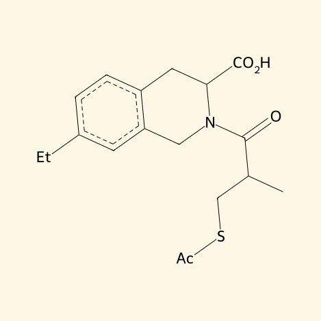 CCc1ccc2c(c1)CN(C(=O)C(C)CSC(C)=O)C(C(=O)O)C2